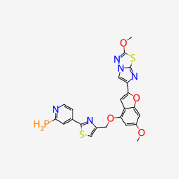 COc1cc(OCc2csc(-c3ccnc(P)c3)n2)c2cc(-c3cn4nc(OC)sc4n3)oc2c1